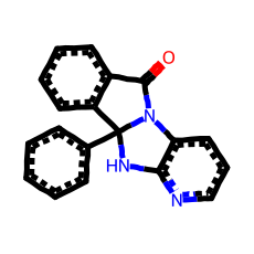 O=C1c2ccccc2C2(c3ccccc3)Nc3ncccc3N12